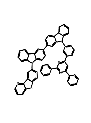 c1ccc(-c2cc(-c3cccc(-n4c5ccccc5c5ccc(-c6ccc7c(c6)c6ccccc6n7-c6ccc7sc8cccnc8c7c6)cc54)c3)nc(-c3ccccc3)n2)cc1